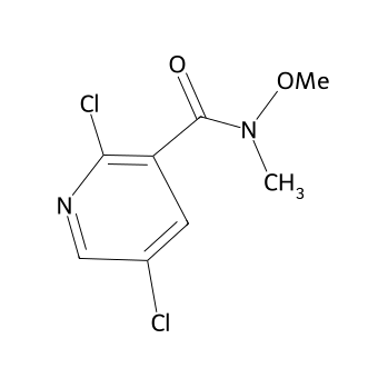 CON(C)C(=O)c1cc(Cl)cnc1Cl